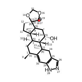 C[C@H]1C[C@@H]2[C@H]([C@@H](O)C[C@@]3(C)[C@H]2CC[C@@]32OCOC23COCO3)[C@@]2(C)Cc3cn[nH]c3C=C12